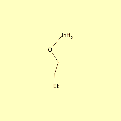 CCCC[O][InH2]